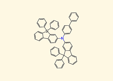 c1ccc(-c2ccc(N(c3ccc4c(c3)C(c3ccccc3)(c3ccccc3)c3ccccc3-4)c3ccc4c(c3)[Si](c3ccccc3)(c3ccccc3)c3ccccc3-4)cc2)cc1